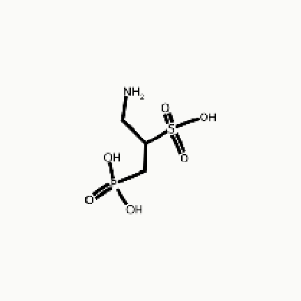 NCC(CP(=O)(O)O)S(=O)(=O)O